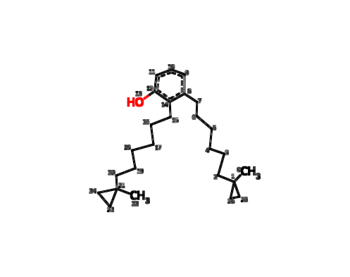 CC1(CCCCCCc2cccc(O)c2CCCCCCC2(C)CC2)CC1